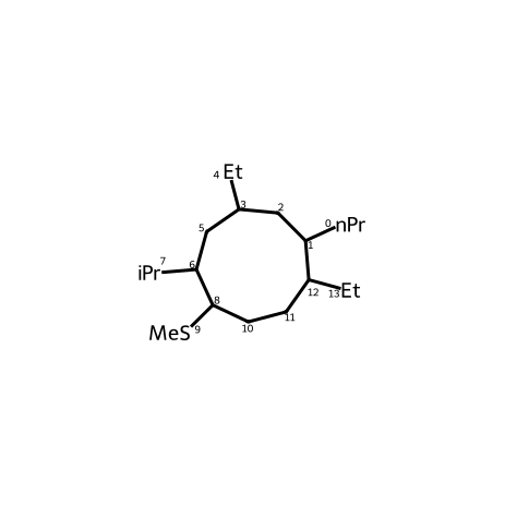 CCCC1CC(CC)CC(C(C)C)C(SC)CCC1CC